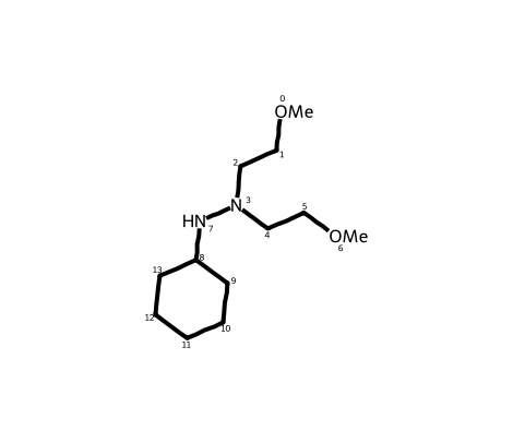 COCCN(CCOC)NC1CCCCC1